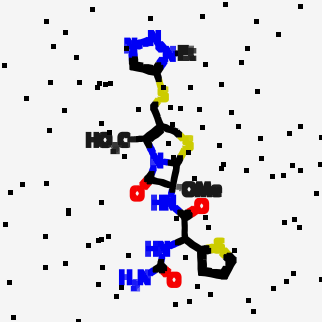 CCn1nncc1SCC1=C(C(=O)O)N2C(=O)[C@@](NC(=O)C(NC(N)=O)c3cccs3)(OC)C2SC1